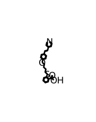 O=C(O)c1ccccc1SCCCCOc1ccc(C=Cc2ccncc2)cc1